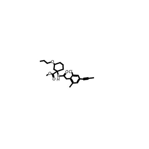 CC#Cc1cc(C)c(CC(=O)NC2(C(=O)OC)CCCC(OCCC)C2)c(Cl)c1